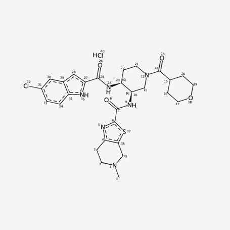 CN1CCc2nc(C(=O)N[C@@H]3CN(C(=O)C4CCOCC4)CC[C@@H]3NC(=O)c3cc4cc(Cl)ccc4[nH]3)sc2C1.Cl